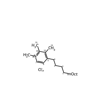 CCCCCCCCCCCCc1cc[n+](C)c(C)c1C.[Cl-]